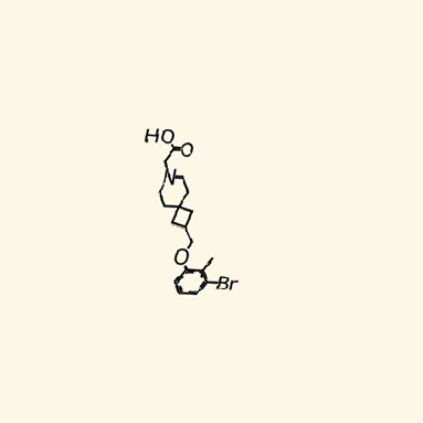 Cc1c(Br)cccc1OCC1CC2(CCN(CC(=O)O)CC2)C1